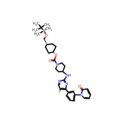 CC(C)(C)[Si](C)(C)OC[C@H]1CC[C@H](OC(=O)N2CCC(Nc3ncc(F)c(-c4cccc(-n5ccccc5=O)c4)n3)CC2)CC1